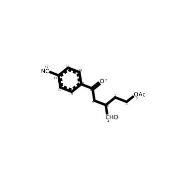 CC(=O)OCCC([C]=O)CC(=O)c1ccc(C#N)cc1